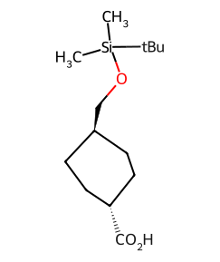 CC(C)(C)[Si](C)(C)OC[C@H]1CC[C@H](C(=O)O)CC1